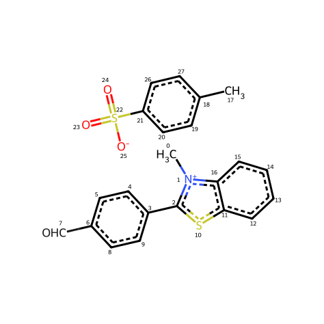 C[n+]1c(-c2ccc(C=O)cc2)sc2ccccc21.Cc1ccc(S(=O)(=O)[O-])cc1